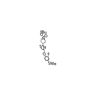 CSc1ccc(OCc2csc(C3CCN(C(=O)OC(C)(C)C)CC3)n2)c(F)c1